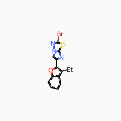 CCc1c(-c2cn3nc(Br)sc3n2)oc2ccccc12